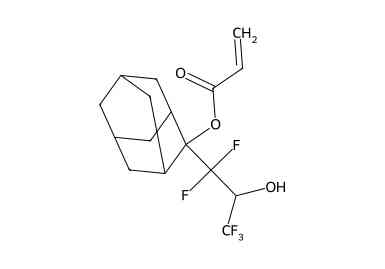 C=CC(=O)OC1(C(F)(F)C(O)C(F)(F)F)C2CC3CC(C2)CC1C3